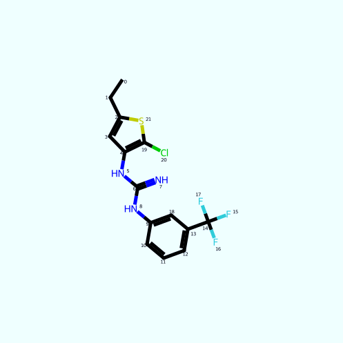 CCc1cc(NC(=N)Nc2cccc(C(F)(F)F)c2)c(Cl)s1